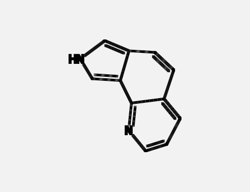 c1cnc2c(c1)ccc1c[nH]cc12